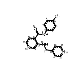 O=C(Nc1ccc(Cl)cc1)c1ccncc1NCc1ccncc1